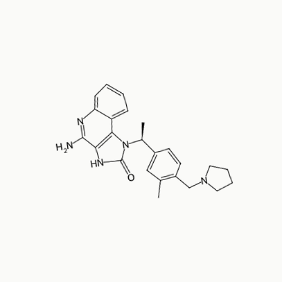 Cc1cc([C@H](C)n2c(=O)[nH]c3c(N)nc4ccccc4c32)ccc1CN1CCCC1